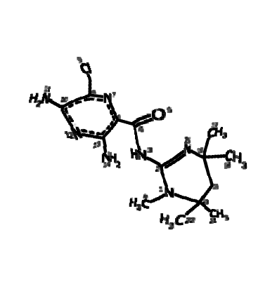 CN1C(NC(=O)c2nc(Cl)c(N)nc2N)=NC(C)(C)CC1(C)C